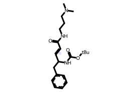 CN(C)CCCNC(=O)/C=C/C(Cc1ccccc1)NC(=O)OC(C)(C)C